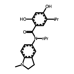 CCCN(C(=O)c1cc(C(C)C)c(O)cc1O)c1ccc2c(c1)CCN2C